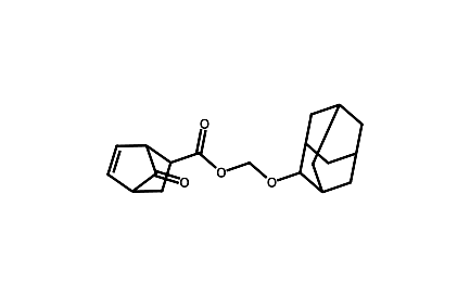 O=C1C2C=CC1C(C(=O)OCOC1C3CC4CC(C3)CC1C4)C2